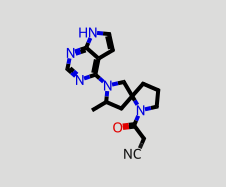 CC1CC2(CCCN2C(=O)CC#N)CN1c1ncnc2[nH]ccc12